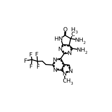 Cn1ncc2c(-c3nc(N)c4c(n3)NC(=O)C4(C)N)nc(CCC(F)(F)C(F)(F)F)nc21